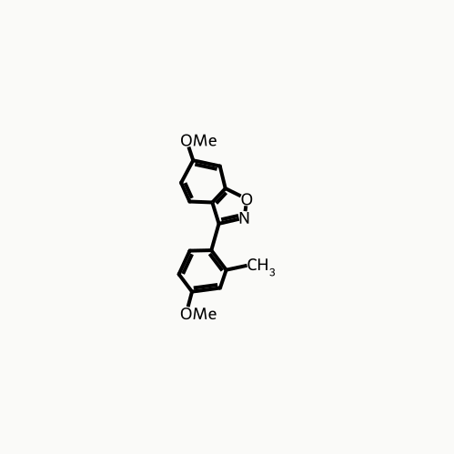 COc1ccc(-c2noc3cc(OC)ccc23)c(C)c1